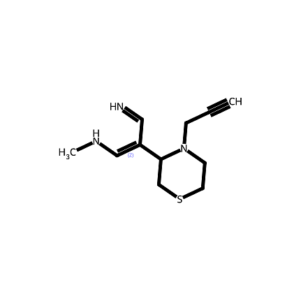 C#CCN1CCSCC1/C(C=N)=C/NC